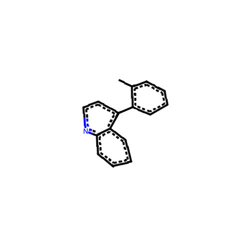 Cc1ccccc1-c1ccnc2ccccc12